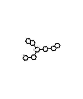 c1cncc(-c2cccc(-c3cc(-c4ccc(-c5ccc6ccccc6c5)cc4)nc(-c4ccc5ccccc5c4)n3)c2)c1